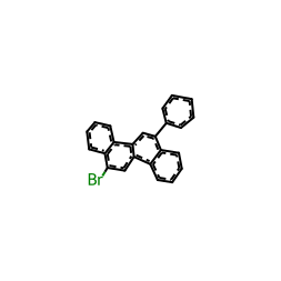 Brc1cc2c3ccccc3c(-c3ccccc3)cc2c2ccccc12